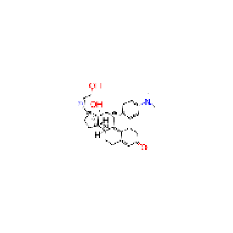 CN(C)c1ccc([C@H]2C[C@@]3(C)[C@@H](CC[C@@]3(O)/C=C\CO)[C@@H]3CCC4=CC(=O)CCC4=C32)cc1